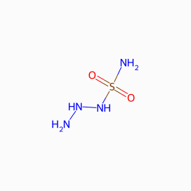 NNNS(N)(=O)=O